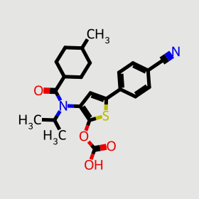 CC1CCC(C(=O)N(c2cc(-c3ccc(C#N)cc3)sc2OC(=O)O)C(C)C)CC1